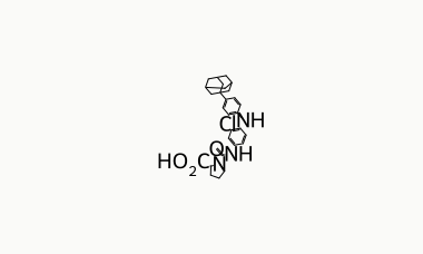 O=C(O)[C@@H]1CCCN1C(=O)Nc1ccc(Nc2ccc(C34CC5CC(CC(C5)C3)C4)cc2Cl)cc1